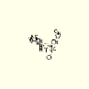 Cn1ccc(-c2ccc(N(C(=O)NCc3ccccc3)[C@H]3CC[C@H](Nc4ncc(C#N)c(-c5ccn[nH]5)n4)CC3)cn2)cc1=O